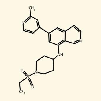 Cc1cc(-c2cc(NC3CCN(S(=O)(=O)CC(F)(F)F)CC3)c3cnccc3c2)ccn1